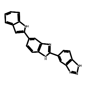 c1ccc2[nH]c(-c3ccc4[nH]c(-c5ccc6[nH]nnc6c5)nc4c3)cc2c1